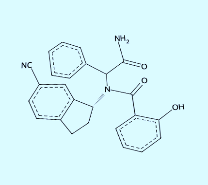 N#Cc1ccc2c(c1)[C@H](N(C(=O)c1ccccc1O)C(C(N)=O)c1ccccc1)CC2